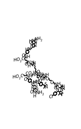 Cc1ncsc1-c1ccc([C@H](C)NC(=O)[C@@H]2C[C@@H](NC(=O)CCCCn3cc(CNC(=O)CC[C@H](NC(=O)c4ccc(NCc5cnc6nc(N)[nH]c(=O)c6n5)cc4)C(=O)O)nn3)CN2C(=O)[C@@H](NC(=O)COCCCOCCNC(=O)C[C@@H]2N=C(c3ccc(Cl)cc3)c3c(sc(C)c3C)-n3c(C)nnc32)C(C)(C)C)cc1.Nc1nc2ncc(CNc3ccc(C(=O)N[C@@H](CCC(=O)O)C(=O)O)cc3)nc2c(=O)[nH]1